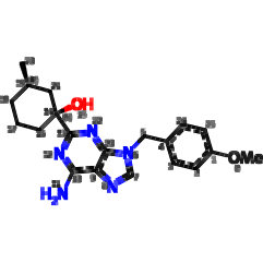 COc1ccc(Cn2cnc3c(N)nc([C@]4(O)CCC[C@@H](C)C4)nc32)cc1